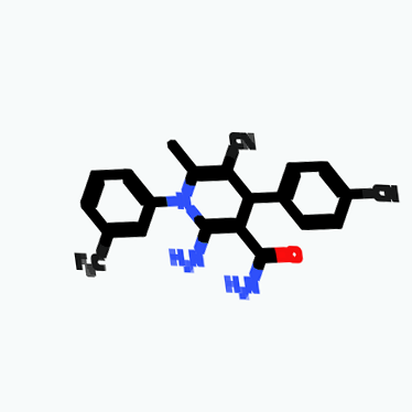 CC1=C(C#N)C(c2ccc(C#N)cc2)C(C(N)=O)=C(N)N1c1cccc(C(F)(F)F)c1